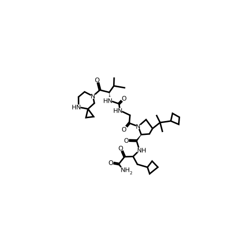 CC(C)[C@H](NC(=O)NCC(=O)N1CC(C(C)(C)C2CCC2)C[C@H]1C(=O)NC(CC1CCC1)C(=O)C(N)=O)C(=O)N1CCNC2(CC2)C1